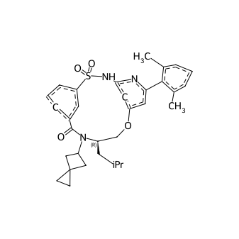 Cc1cccc(C)c1-c1cc2cc(n1)NS(=O)(=O)c1cccc(c1)C(=O)N(C1CC3(CC3)C1)[C@H](CC(C)C)CO2